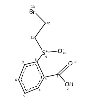 O=C(O)c1ccccc1[S+]([O-])CCBr